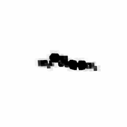 Cc1ccc(-c2ccc(OCC(=O)Nc3cccc(C(=O)O)c3)cc2)cc1